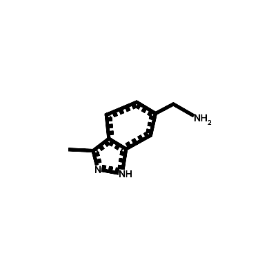 Cc1n[nH]c2cc(CN)ccc12